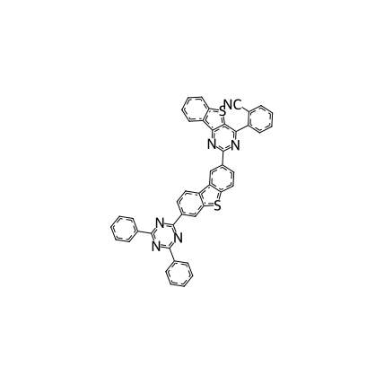 N#Cc1ccccc1-c1nc(-c2ccc3sc4cc(-c5nc(-c6ccccc6)nc(-c6ccccc6)n5)ccc4c3c2)nc2c1sc1ccccc12